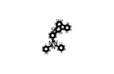 c1ccc(-c2nc(-c3ccccc3)nc(-c3ccc4sc5c6cccc7c6c(cc5c4c3)-c3ccccc3-7)n2)cc1